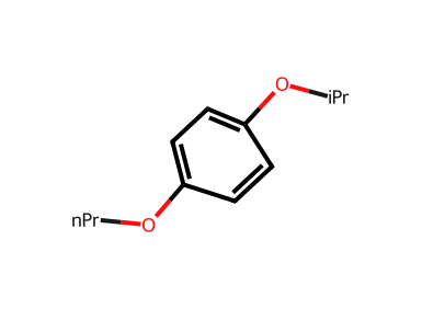 [CH2]C(C)Oc1ccc(OCCC)cc1